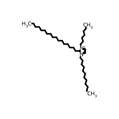 CCCCCCCCCCCCCCCCCc1n(CCCCCCCCCCCC)cc[n+]1CCCCCCC